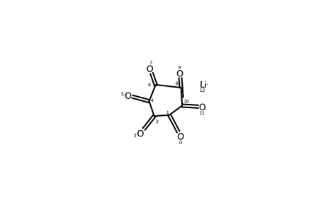 O=C1C(=O)C(=O)C(=O)C(=O)C1=O.[Li]